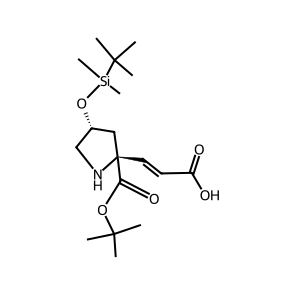 CC(C)(C)OC(=O)[C@@]1(C=CC(=O)O)C[C@@H](O[Si](C)(C)C(C)(C)C)CN1